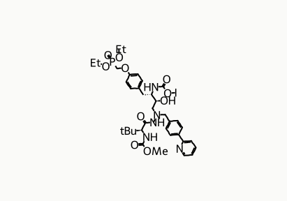 CCOP(=O)(COc1ccc(C[C@H](NC(=O)OI)[C@@H](O)CN(Cc2ccc(-c3ccccn3)cc2)NC(=O)[C@@H](NC(=O)OC)C(C)(C)C)cc1)OCC